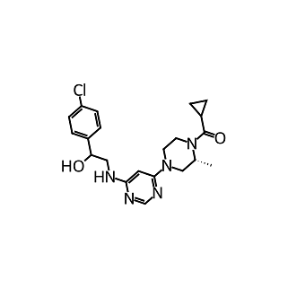 C[C@@H]1CN(c2cc(NCC(O)c3ccc(Cl)cc3)ncn2)CCN1C(=O)C1CC1